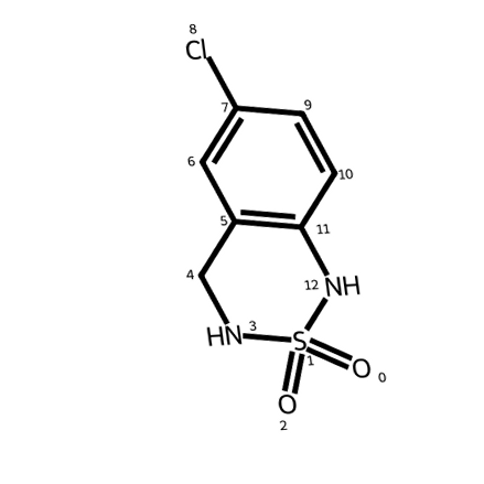 O=S1(=O)NCc2cc(Cl)ccc2N1